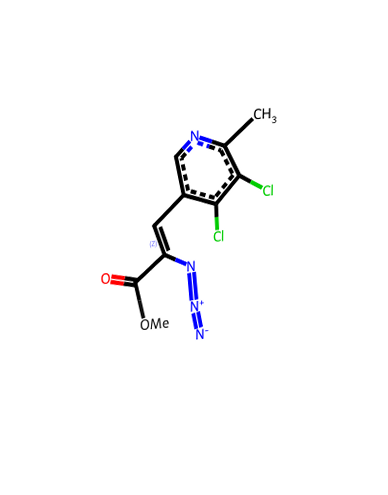 COC(=O)/C(=C/c1cnc(C)c(Cl)c1Cl)N=[N+]=[N-]